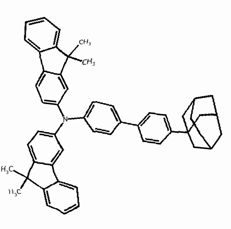 CC1(C)c2ccccc2-c2cc(N(c3ccc(-c4ccc(C56CC7CC(CC(C7)C5)C6)cc4)cc3)c3ccc4c(c3)C(C)(C)c3ccccc3-4)ccc21